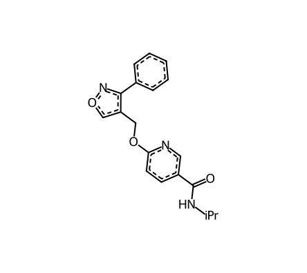 CC(C)NC(=O)c1ccc(OCc2conc2-c2ccccc2)nc1